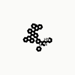 CC12C=CC=CC1=C(c1c3ccccc3c(-c3cc4ccccc4c4ccccc34)c3cc(-c4ccc5c(c4)c4cc(C6=CC=CCN6)ncc4n5-c4ccccc4)ccc13)C=C1C=CC=CC12